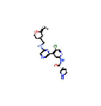 C=C1CC(CNc2cncc(-c3cc(NC(=O)[C@@H]4CCNC4)ncc3Cl)n2)CCO1